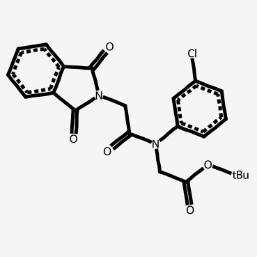 CC(C)(C)OC(=O)CN(C(=O)CN1C(=O)c2ccccc2C1=O)c1cccc(Cl)c1